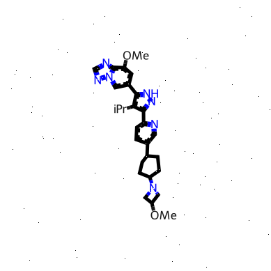 COc1cc(-c2[nH]nc(-c3ccc(C4CCC(N5CC(OC)C5)CC4)cn3)c2C(C)C)cn2ncnc12